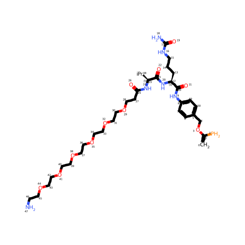 C=C(P)OCc1ccc(NC(=O)[C@H](CCCNC(N)=O)NC(=O)[C@@H](NC(=O)CCOCCOCCOCCOCCOCCOCCN)C(C)C)cc1